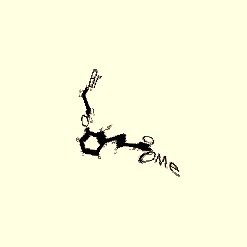 COC(=O)/C=C/c1cccc(OCCBr)c1